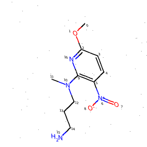 COc1ccc([N+](=O)[O-])c(N(C)CCCN)n1